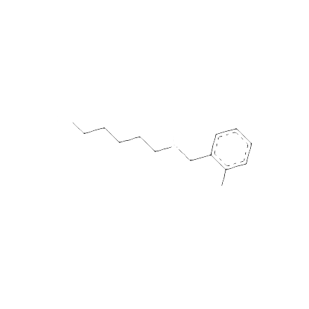 CCCCCCNCc1ccccc1F